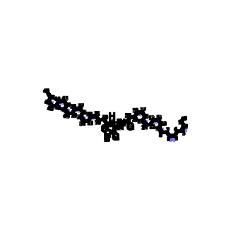 CC/C=C\C/C=C\C/C=C\C/C=C\C/C=C\C/C=C\CCC(=O)NC[C@H](NC(=O)CC/C=C\C/C=C\C/C=C\C/C=C\C/C=C\C/C=C\CC)C(=O)OC